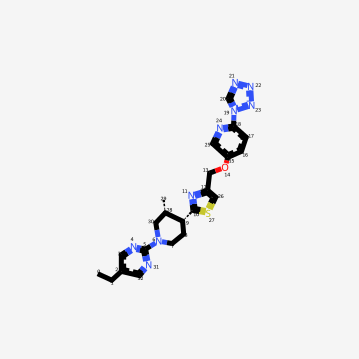 CCc1cnc(N2CC[C@@H](c3nc(COc4ccc(-n5cnnn5)nc4)cs3)[C@@H](C)C2)nc1